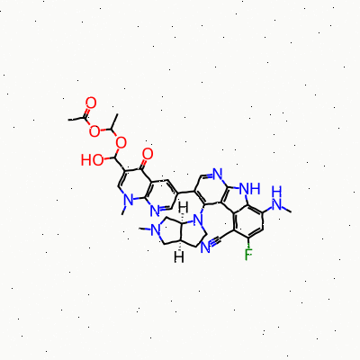 CNc1cc(F)c(C#N)c2c1[nH]c1ncc(-c3cnc4c(c3)c(=O)c(C(O)OC(C)OC(C)=O)cn4C)c(N3CC[C@H]4CN(C)C[C@H]43)c12